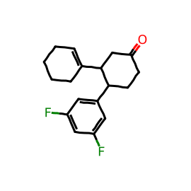 O=C1CCC(c2cc(F)cc(F)c2)C(C2=CCCCC2)C1